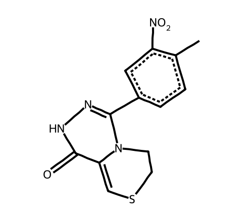 Cc1ccc(C2=NNC(=O)C3=CSCCN32)cc1[N+](=O)[O-]